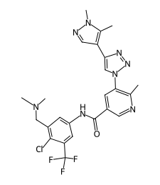 Cc1ncc(C(=O)Nc2cc(CN(C)C)c(Cl)c(C(F)(F)F)c2)cc1-n1cc(-c2cnn(C)c2C)nn1